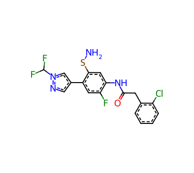 NSc1cc(NC(=O)Cc2ccccc2Cl)c(F)cc1-c1cnn(C(F)F)c1